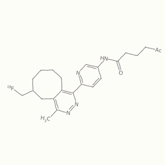 CC(=O)CCCC(=O)Nc1ccc(-c2nnc(C)c3c2CCCCC(C[18F])C3)nc1